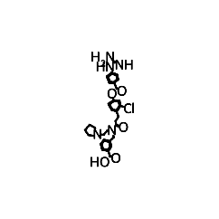 N=C(N)Nc1ccc(C(=O)Oc2ccc(CCC(=O)N(CCN3CCCCC3)Cc3cccc(C(=O)O)c3)c(Cl)c2)cc1